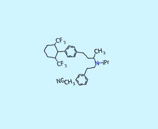 CC#N.CC(C)N(CCc1ccccc1)C(C)CCc1ccc(C2C(C(F)(F)F)CCCC2C(F)(F)F)cc1